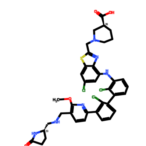 COc1nc(-c2cccc(-c3cccc(Nc4cc(Cl)cc5sc(CN6CCC[C@H](C(=O)O)C6)nc45)c3Cl)c2Cl)ccc1CNC[C@@H]1CCC(=O)N1